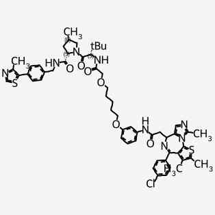 Cc1ncsc1-c1ccc(CNC(=O)[C@@H]2C[C@@H](C)CN2C(=O)[C@@H](NC(=O)COCCCCCOc2cccc(NC(=O)CC3N=C(c4ccc(Cl)cc4)c4c(sc(C)c4C)-n4c3cnc4C)c2)C(C)(C)C)cc1